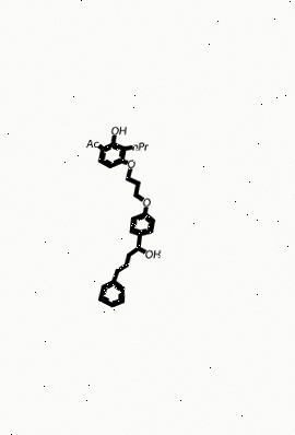 CCCc1c(OCCCOc2ccc(C(O)CCCc3ccccc3)cc2)ccc(C(C)=O)c1O